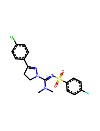 CN(C)/C(=N\S(=O)(=O)c1ccc(F)cc1)N1CCC(c2ccc(Cl)cc2)=N1